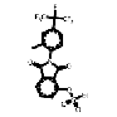 CCS(=O)(=O)Oc1cccc2c1C(=O)N(c1ccc(C(F)(C(F)(F)F)C(F)(F)F)cc1C)C2=O